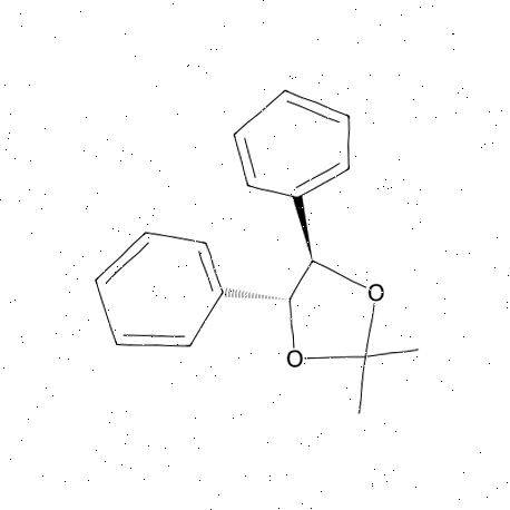 CC1(C)O[C@H](c2ccccc2)[C@@H](c2ccccc2)O1